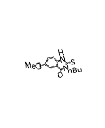 CCCCn1c(=S)[nH]c2ccc(OC)cc2c1=O